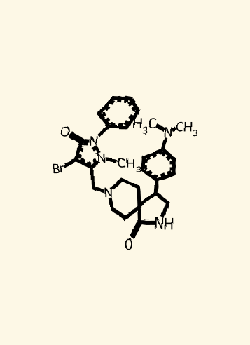 CN(C)c1ccc(C2CNC(=O)C23CCN(Cc2c(Br)c(=O)n(-c4ccccc4)n2C)CC3)cc1